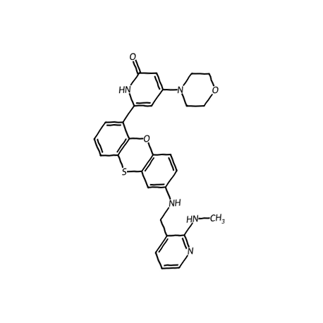 CNc1ncccc1CNc1ccc2c(c1)Sc1cccc(-c3cc(N4CCOCC4)cc(=O)[nH]3)c1O2